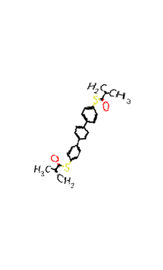 C=C(C)C(=O)Sc1ccc(-c2ccc(-c3ccc(SC(=O)C(=C)C)cc3)cc2)cc1